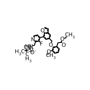 CCOC(=O)Cc1cccc(OC)c1OCc1cc(-c2ccnc(CN[S@@+]([O-])C(C)(C)C)c2F)c2occc2c1